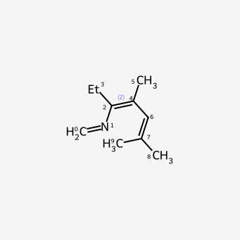 C=N/C(CC)=C(/C)C=C(C)C